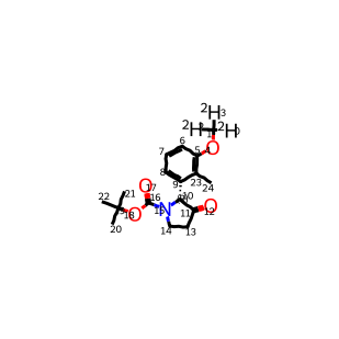 [2H]C([2H])([2H])Oc1cccc([C@@H]2C(=O)CCN2C(=O)OC(C)(C)C)c1C